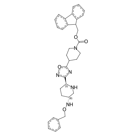 O=C(OCC1c2ccccc2-c2ccccc21)N1CCC(c2nc([C@@H]3CC[C@@H](NOCc4ccccc4)CN3)no2)CC1